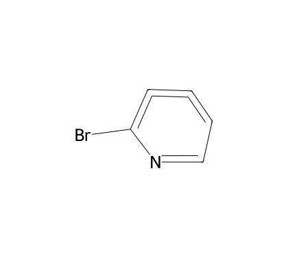 BrC1=C=C=CC=N1